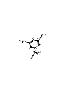 Fc1cc(F)cc(NI)c1